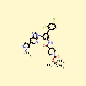 Cn1cc(-c2cnc3c(c2)ncn3-c2cc(NC(=O)C3CCN(C(=O)OC(C)(C)C)CC3)cc(-c3ccc(F)cc3F)c2)cn1